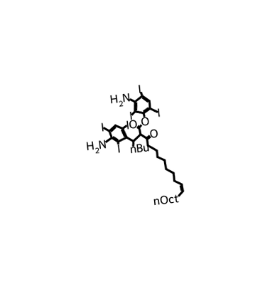 CCCCCCCC/C=C\CCCCCCCC(=O)C(C(=O)Oc1c(I)cc(I)c(N)c1I)C(CCCC)c1c(I)cc(I)c(N)c1I